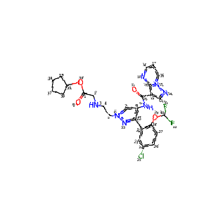 O=C(CNCCn1cc(NC(=O)c2cnn3cccnc23)c(-c2cc(Cl)ccc2OC(F)F)n1)OC1CCCC1